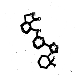 O=C1NCc2cccc(Nc3cccc(-c4nncn4[C@@H]4CCCCC4(F)F)n3)c21